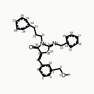 COCc1cccc(/C=C2\S/C(=N\Cc3ccccc3)N(CCCc3ccccc3)C2=O)c1